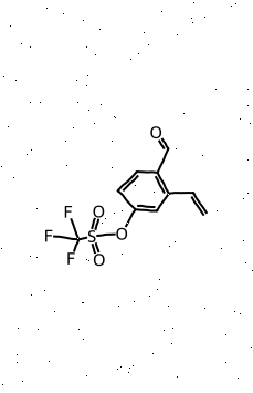 C=Cc1cc(OS(=O)(=O)C(F)(F)F)ccc1C=O